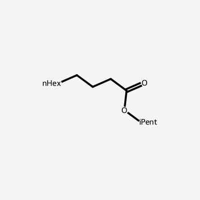 CCCCCCCCCC(=O)OC(C)CCC